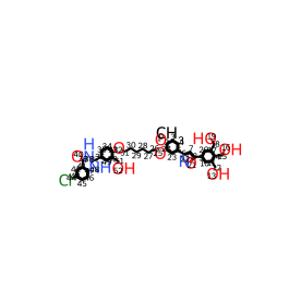 COc1ccc(-c2cc(-c3cc(CO)c(CO)c(CO)c3)on2)cc1OCCCCCCOc1ccc(C2NC(=O)c3cc(Cl)ccc3N2)cc1CO